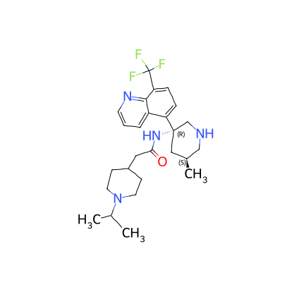 CC(C)N1CCC(CC(=O)N[C@]2(c3ccc(C(F)(F)F)c4ncccc34)CNC[C@@H](C)C2)CC1